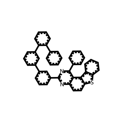 c1ccc(-c2ccccc2-c2cccc(-c3cccc(-c4nc(-c5ccccc5)c5c(ccc6sc7ccccc7c65)n4)c3)c2)cc1